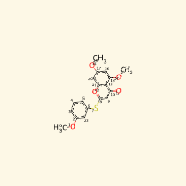 COc1cccc(Sc2cc(=O)c3c(OC)cc(OC)cc3o2)c1